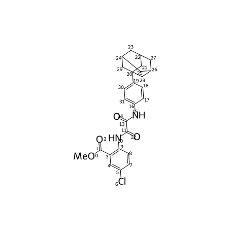 COC(=O)c1cc(Cl)ccc1NC(=O)C(=O)Nc1ccc(C23CC4CC(CC(C4)C2)C3)cc1